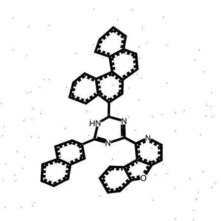 c1ccc2cc(C3=NC(c4nccc5oc6ccccc6c45)=NC(c4cc5ccc6ccccc6c5c5ccccc45)N3)ccc2c1